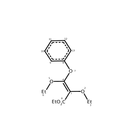 CCOC(=O)C(OCC)=C(OCC)Oc1ccccc1